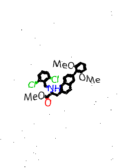 COC(=O)C(Cc1ccc2cc(-c3c(OC)cccc3OC)ccc2c1)NCc1c(Cl)cccc1Cl